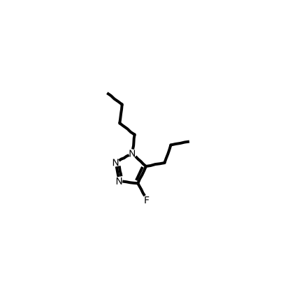 CCCCn1nnc(F)c1CCC